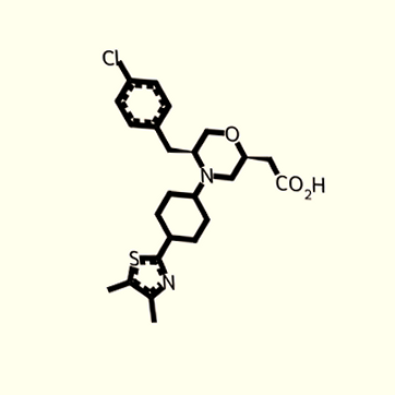 Cc1nc(C2CCC(N3C[C@H](CC(=O)O)OC[C@@H]3Cc3ccc(Cl)cc3)CC2)sc1C